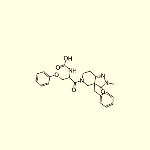 CN1N=C2CCN(C(=O)C(COc3ccccc3)NC(=O)O)CC2(Cc2ccccc2)C1=O